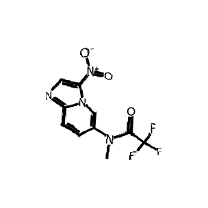 CN(C(=O)C(F)(F)F)c1ccc2ncc([N+](=O)[O-])n2c1